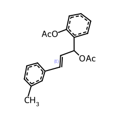 CC(=O)Oc1ccccc1C(/C=C/c1cccc(C)c1)OC(C)=O